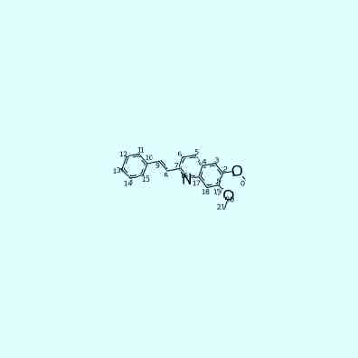 COc1cc2ccc(C=Cc3ccccc3)nc2cc1OC